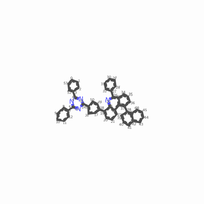 c1ccc(-c2nc(-c3ccccc3)nc(-c3ccc(-c4cccc5c4nc(-c4ccccc4)c4cccc(-c6cccc7ccccc67)c45)cc3)n2)cc1